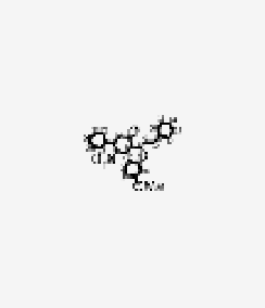 COc1ccc([C@H]2C(C(=O)/C=C/c3ccccc3)C(=O)C[C@H](c3ccccc3)[C@@H]2[N+](=O)[O-])cc1